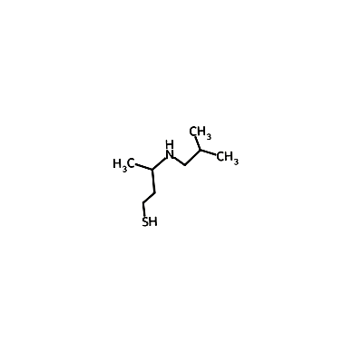 CC(C)CNC(C)CCS